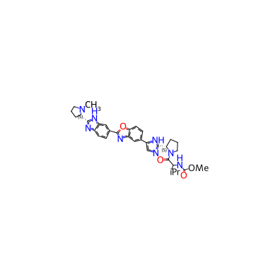 COC(=O)NC(C(=O)N1CCC[C@H]1c1ncc(-c2ccc3oc(-c4ccc5nc([C@@H]6CCCN6C)[nH]c5c4)nc3c2)[nH]1)C(C)C